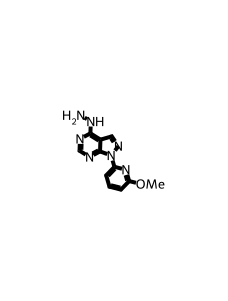 COc1cccc(-n2ncc3c(NN)ncnc32)n1